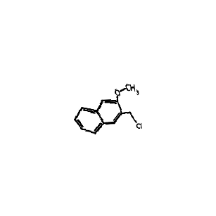 COc1cc2ccccc2cc1CCl